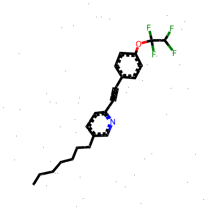 CCCCCCCc1ccc(C#Cc2ccc(OC(F)(F)C(F)F)cc2)nc1